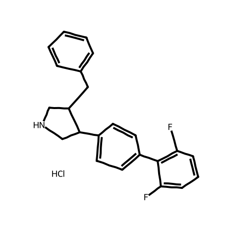 Cl.Fc1cccc(F)c1-c1ccc(C2CNCC2Cc2ccccc2)cc1